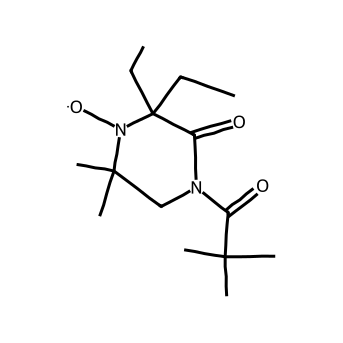 CCC1(CC)C(=O)N(C(=O)C(C)(C)C)CC(C)(C)N1[O]